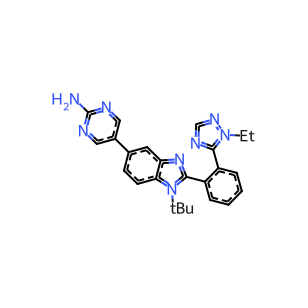 CCn1ncnc1-c1ccccc1-c1nc2cc(-c3cnc(N)nc3)ccc2n1C(C)(C)C